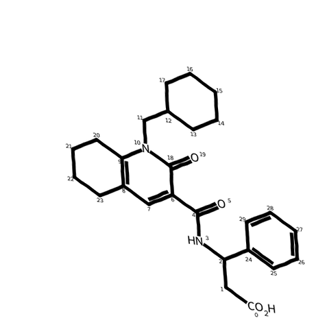 O=C(O)CC(NC(=O)c1cc2c(n(CC3CCCCC3)c1=O)CCCC2)c1ccccc1